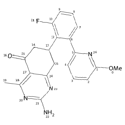 COc1cccc(-c2cccc(F)c2C2CC(=O)c3c(C)nc(N)nc3C2)n1